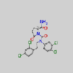 NC(=O)[C@@H]1CCC(=O)N1C(=O)N(CCc1ccc(Cl)cc1Cl)c1ccc(Cl)c(Cl)c1